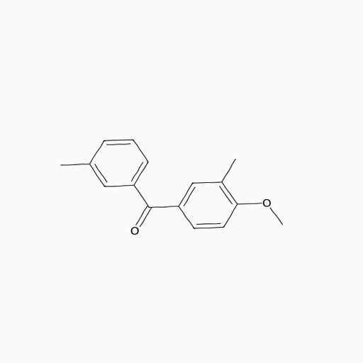 COc1ccc(C(=O)c2cccc(C)c2)cc1C